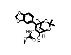 COC(=O)N[C@@H]1C(c2ccc3c(c2)OCO3)[C@H]2OC(C)(C)O[C@H](C2=O)[C@H]1O